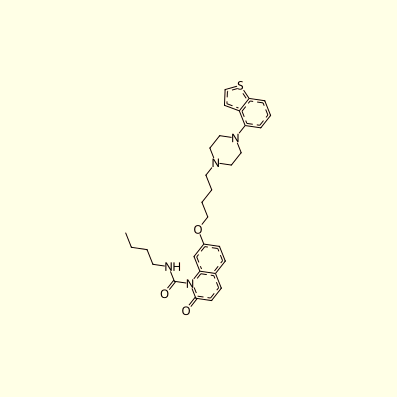 CCCCNC(=O)n1c(=O)ccc2ccc(OCCCCN3CCN(c4cccc5sccc45)CC3)cc21